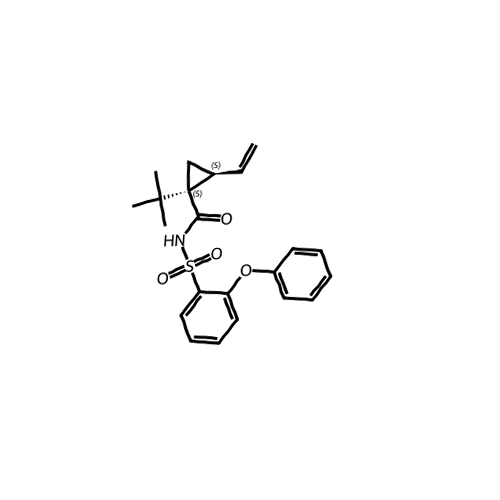 C=C[C@@H]1C[C@@]1(C(=O)NS(=O)(=O)c1ccccc1Oc1ccccc1)C(C)(C)C